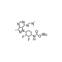 Cc1nn(-c2ccc(NC(=O)OC(C)(C)C)c(F)c2F)c2c(/N=C/N(C)C)ncnc12